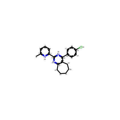 Cc1cccc(-c2nc3c(c(-c4ccc(Cl)cc4)n2)CCCCC3)n1